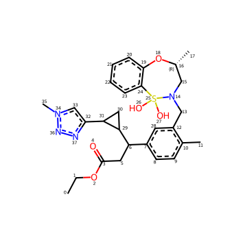 CCOC(=O)CC(c1ccc(C)c(CN2C[C@@H](C)Oc3ccccc3S2(O)O)c1)C1CC1c1cn(C)nn1